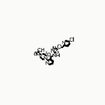 C[S+]([O-])N1CCN(c2ncccc2C(=O)Nc2nnc(OCc3ccc(Cl)cn3)s2)CC1